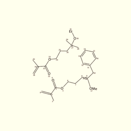 C=C(C)C(=O)OCCC[SiH](Cc1ccccc1)OC.C=C(C)C(=O)OCCC[Si](C)(C)OCC